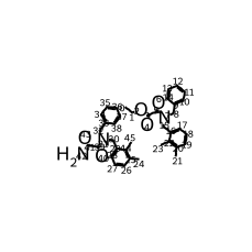 CCOC(=O)C(=O)N(Cc1ccccc1)Cc1cccc(C)c1C.Cc1cccc(CN(Cc2ccccc2)C(=O)C(N)=O)c1C